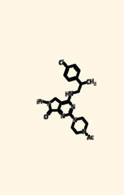 CC(=O)N1CCN(c2nc(NCC(C)c3ccc(Cl)cc3)c3c(n2)C(=O)N(C(C)C)C3)CC1